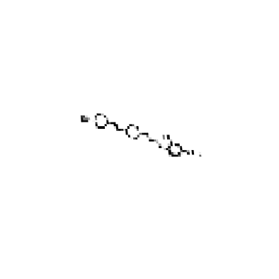 CCC1CCC(C=CC2CCC(CCCCc3ccc(C)cc3Cl)CC2)CC1